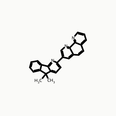 CC1(C)c2ccccc2-c2nc(-c3cnc4c(ccc5cccnc54)c3)ccc21